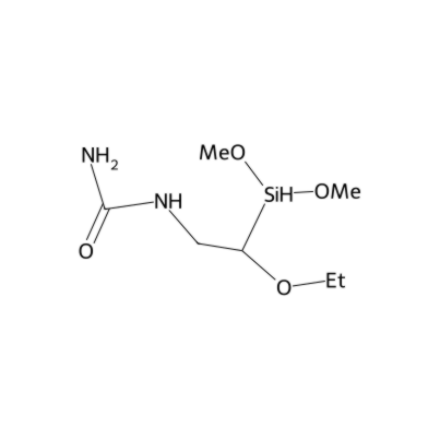 CCOC(CNC(N)=O)[SiH](OC)OC